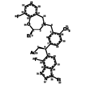 CC[C@@H]1CN(Cc2cc([C@H](CC(C)=O)c3ccc4c(nnn4CC)c3F)ccc2C)Cc2cccc(F)c2O1